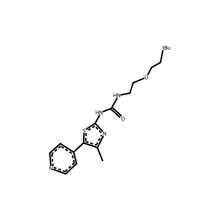 Cc1nc(NC(=O)NCCOCCC(C)(C)C)sc1-c1ccncc1